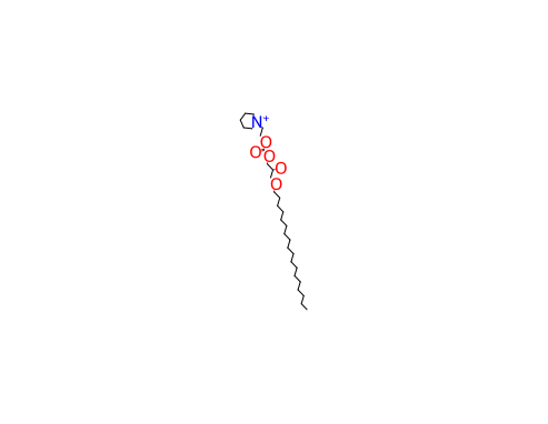 CCCCCCCCCCCCCCCCCCOCC(COC(=O)OCC[N+]1(C)CCCCC1)OC